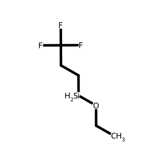 CCO[SiH2]CCC(F)(F)F